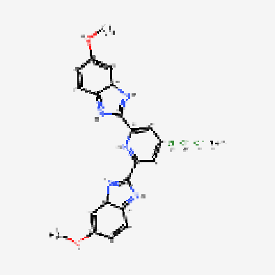 COC1=CC2N=C(c3cccc(C4=NC5C=C(OC)C=CC5=N4)n3)N=C2C=C1.[Cl-].[Cl-].[Cl-].[Fe+3]